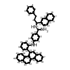 NC(NC(CCc1ccccc1)c1ccc2ccccc2c1)c1ccc(Nc2ccccc2-c2cc3ccccc3c3ccc4ccccc4c23)cc1